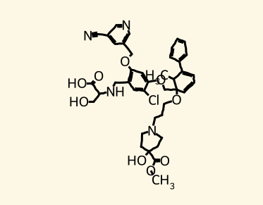 COC(=O)C1(O)CCN(CCCOC2(COc3cc(OCc4cncc(C#N)c4)c(CNC(CO)C(=O)O)cc3Cl)C=CC=C(c3ccccc3)C2C)CC1